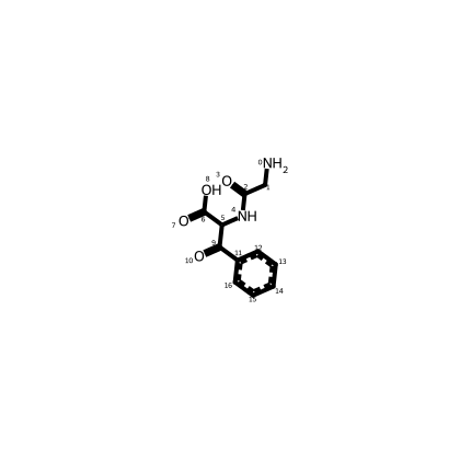 NCC(=O)NC(C(=O)O)C(=O)c1ccccc1